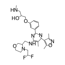 CNCC(O)COc1cccc(-c2nc(NCC3COCCN3CC(F)F)c(C)c(-c3c(C)noc3C)n2)c1